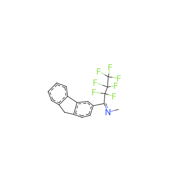 C/N=C(/c1ccc2c(c1)-c1ccccc1C2)C(F)(F)C(F)(F)C(F)(F)F